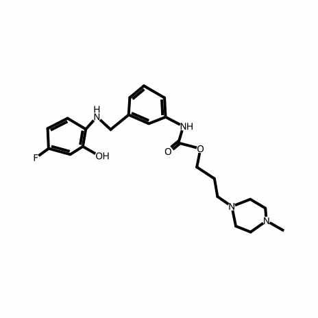 CN1CCN(CCCOC(=O)Nc2cccc(CNc3ccc(F)cc3O)c2)CC1